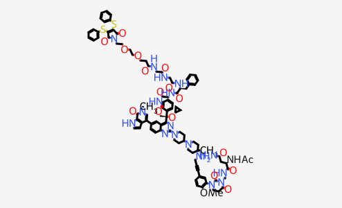 COc1ccc(C#CCNC2(C)CCN(C3CCN(c4nc([C@@](COCNC(=O)CNC(=O)[C@H](Cc5ccccc5)NC(=O)CNC(=O)CNC(=O)CCOCCOCCN5C(=O)C(Sc6ccccc6)=C(Sc6ccccc6)C5=O)(OC5CC5)c5ccccc5)c5cc(-c6cn(C)c(=O)c7[nH]ccc67)ccc5n4)CC3)CC2)cc1N1CCC(=O)N(CNC(=O)[C@H](CC(N)=O)NC(C)=O)C1=O